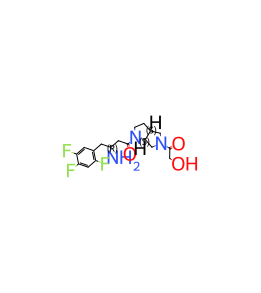 N[C@@H](CC(=O)N1CC[C@H]2CN(C(=O)CO)C[C@H]21)Cc1cc(F)c(F)cc1F